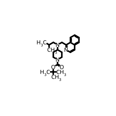 CC(C)CN(Cc1nccc2ccccc12)C1CCN(C(=O)OC(C)(C)C)CC1